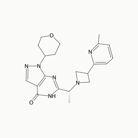 Cc1cccc(C2CN([C@H](C)c3nc4c(cnn4C4CCOCC4)c(=O)[nH]3)C2)n1